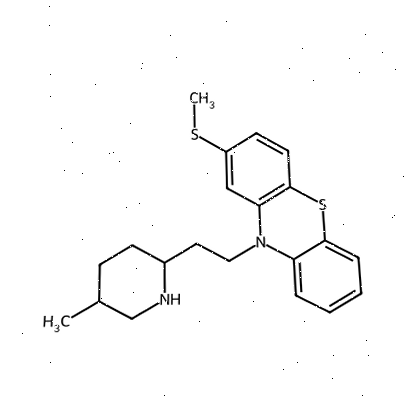 CSc1ccc2c(c1)N(CCC1CCC(C)CN1)c1ccccc1S2